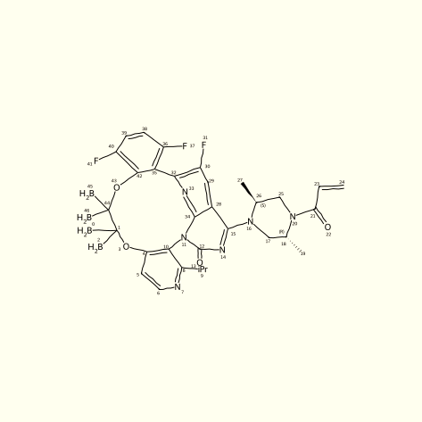 BC1(B)Oc2ccnc(C(C)C)c2-n2c(=O)nc(N3C[C@@H](C)N(C(=O)C=C)C[C@@H]3C)c3cc(F)c(nc32)-c2c(F)ccc(F)c2OC1(B)B